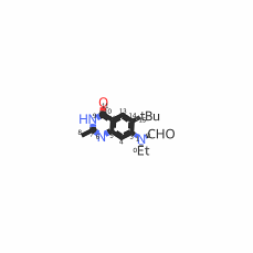 CCN(C=O)c1cc2nc(C)[nH]c(=O)c2cc1C(C)(C)C